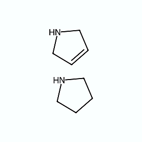 C1=CCNC1.C1CCNC1